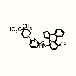 CC1(C(=O)O)CCN(c2cccc(SNc3ccc(C(F)(F)F)c(-c4ccccc4C4CCCC4)n3)n2)CC1